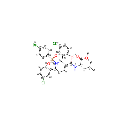 COC(=O)[C@H](CC(C)C)NC(=O)C1=CC[C@@H](c2cccc(Cl)c2)N(S(=O)(=O)c2ccc(Br)cc2)[C@H]1c1cccc(Cl)c1